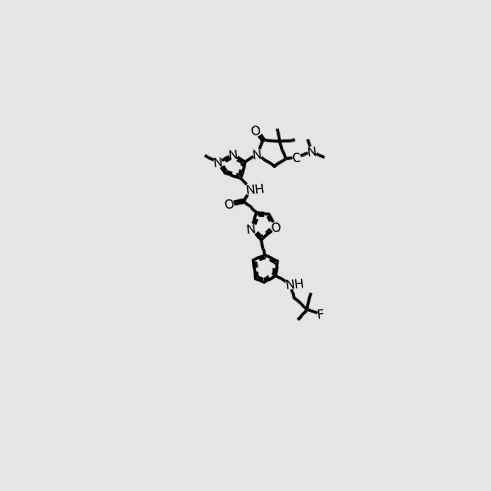 CN(C)CC1CN(c2nn(C)cc2NC(=O)c2coc(-c3cccc(NCC(C)(C)F)c3)n2)C(=O)C1(C)C